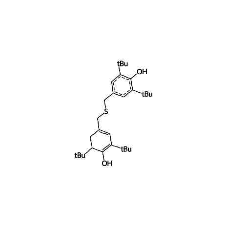 CC(C)(C)C1=C(O)C(C(C)(C)C)CC(CSCc2cc(C(C)(C)C)c(O)c(C(C)(C)C)c2)=C1